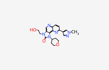 Cn1cc(-c2ccc3ncc4c(c3n2)n(C2CCOCC2)c(=O)n4CCO)cn1